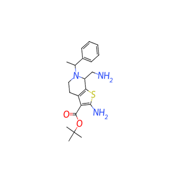 CC(c1ccccc1)N1CCc2c(sc(N)c2C(=O)OC(C)(C)C)C1CN